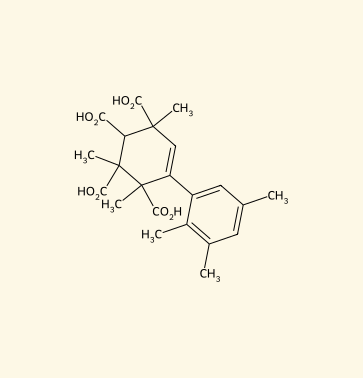 Cc1cc(C)c(C)c(C2=CC(C)(C(=O)O)C(C(=O)O)C(C)(C(=O)O)C2(C)C(=O)O)c1